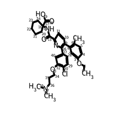 CCOc1ccc(C)c(-c2ccc(C(=O)NC3(C(=O)O)CCCCC3)nc2-c2ccc(Cl)c(OCCCN(C)C)c2)c1